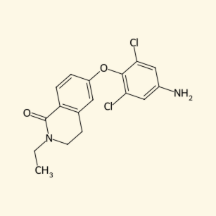 CCN1CCc2cc(Oc3c(Cl)cc(N)cc3Cl)ccc2C1=O